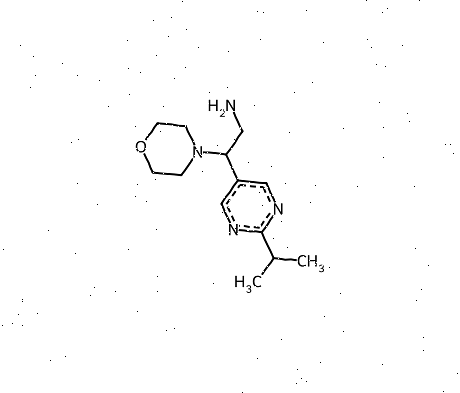 CC(C)c1ncc(C(CN)N2CCOCC2)cn1